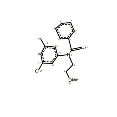 COCCN(C(=O)c1ccccc1)c1cc(C)cc(Cl)c1